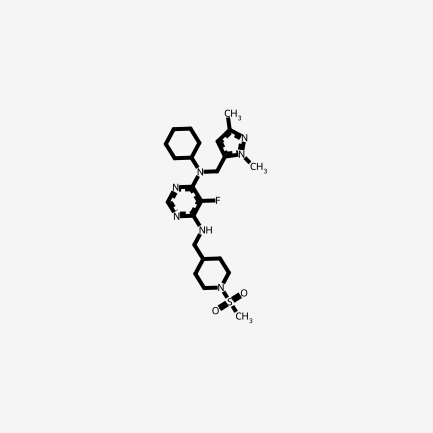 Cc1cc(CN(c2ncnc(NCC3CCN(S(C)(=O)=O)CC3)c2F)C2CCCCC2)n(C)n1